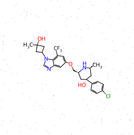 C[C@H]1C[C@@](O)(c2ccc(Cl)cc2)C[C@@H](COc2cc(C(F)(F)F)c3c(c2)ncn3C2CC(C)(O)C2)N1